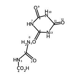 NC(=O)NC(=O)O.O=c1[nH]c(=O)[nH]c(=O)[nH]1